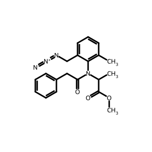 COC(=O)C(C)N(C(=O)Cc1ccccc1)c1c(C)cccc1CN=[N+]=[N-]